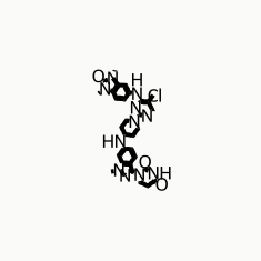 Cn1nc(N2CCC(=O)NC2=O)c2ccc(NC3CCN(c4ncc(Cl)c(Nc5ccc6c(c5)n(C)c(=O)n6C)n4)CC3)cc21